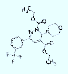 CCOC(=O)C1=CC(c2cccc(C(F)(F)F)c2)=NN(C(=O)OCC)C1N1CCOCC1